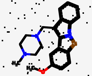 COc1ccc2sn3c4ccccc4c(CN4CCN(C)CC4)c3c2c1